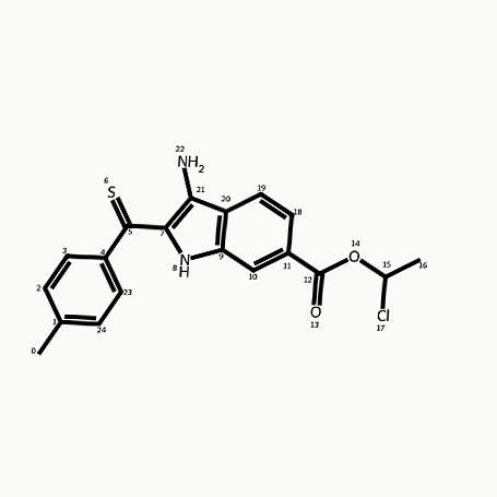 Cc1ccc(C(=S)c2[nH]c3cc(C(=O)OC(C)Cl)ccc3c2N)cc1